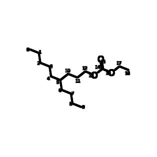 CCCCCC(CCCC)CCCOC(=O)OCC